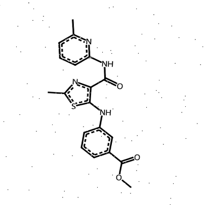 COC(=O)c1cccc(Nc2sc(C)nc2C(=O)Nc2cccc(C)n2)c1